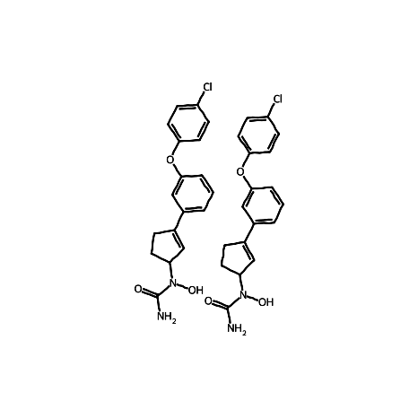 NC(=O)N(O)C1C=C(c2cccc(Oc3ccc(Cl)cc3)c2)CC1.NC(=O)N(O)C1C=C(c2cccc(Oc3ccc(Cl)cc3)c2)CC1